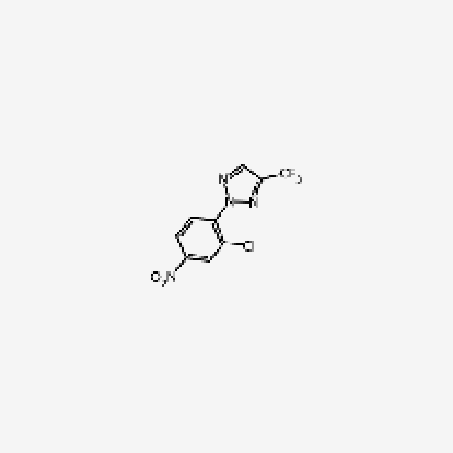 O=[N+]([O-])c1ccc(-n2ncc(C(F)(F)F)n2)c(Cl)c1